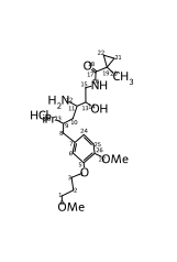 COCCCOc1cc(CC(CC(N)C(O)CNC(=O)C2(C)CC2)C(C)C)ccc1OC.Cl